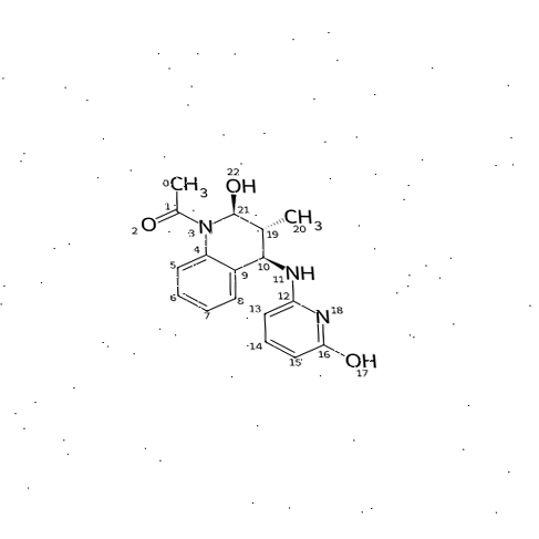 CC(=O)N1c2ccccc2[C@H](Nc2cccc(O)n2)[C@@H](C)[C@@H]1O